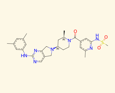 Cc1cc(C)cc(Nc2ncc3c(n2)CN([C@@H]2CCN(C(=O)c4cc(C)nc(NS(C)(=O)=O)c4)[C@H](C)C2)C3)c1